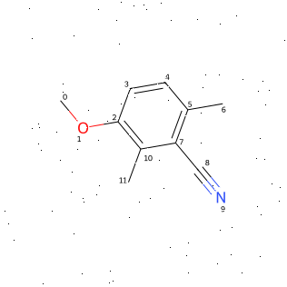 COc1ccc(C)c(C#N)c1C